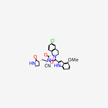 COc1cccc2[nH]c(C(=O)N3CCc4cc(Cl)ccc4[C@H]3C(=O)N[C@H](C#N)C[C@@H]3CCNC3=O)cc12